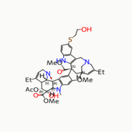 CCC1=C[C@H]2CN(C1)Cc1c([nH]c3ccc(SCCO)cc13)[C@@](C(=O)OC)(c1cc3c(cc1OC)N(C)[C@H]1[C@@](O)(C(=O)OC)[C@H](OC(C)=O)C4C(CC)=CCN5CC[C@]31[C@H]45)C2